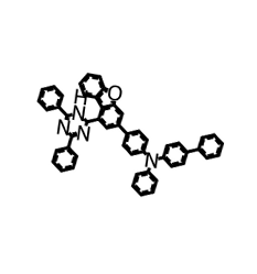 c1ccc(C2=NC(c3cc(-c4ccc(N(c5ccccc5)c5ccc(-c6ccccc6)cc5)cc4)cc4oc5ccccc5c34)NC(c3ccccc3)=N2)cc1